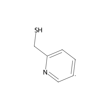 SCc1cc[c]cn1